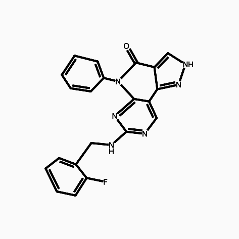 O=c1c2c[nH]nc2c2cnc(NCc3ccccc3F)nc2n1-c1ccccc1